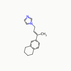 CC(=CCn1ccnc1)c1ccc2c(c1)CCCC2